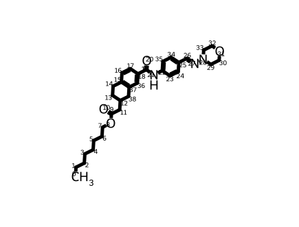 CCCCCCCCOC(=O)CC1CCc2ccc(C(=O)Nc3ccc(C=NN4CCOCC4)cc3)cc2C1